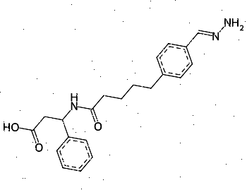 NN=Cc1ccc(CCCCC(=O)NC(CC(=O)O)c2ccccc2)cc1